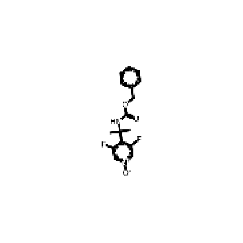 CC(C)(NC(=O)OCc1ccccc1)c1c(F)c[n+]([O-])cc1F